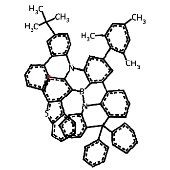 Cc1cc(C)c(-c2cc3c4c(c2)N(c2ccc(C(C)(C)C)cc2-c2ccccc2)c2ccc5sc6ccccc6c5c2B4N2c4ccccc4C(c4ccccc4)(c4ccccc4)c4cccc-3c42)c(C)c1